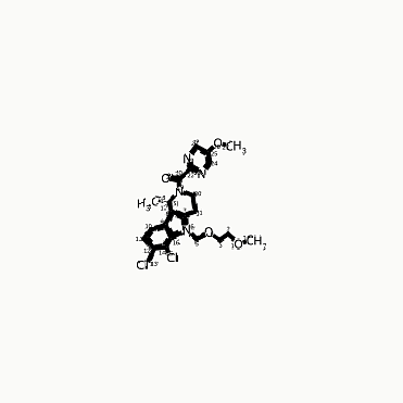 COCCOCn1c2c(c3ccc(Cl)c(Cl)c31)[C@H](C)N(C(=O)c1ncc(OC)cn1)CC2